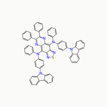 c1ccc(-c2nc3c(N(c4ccccc4)c4ccc(-n5c6ccccc6c6ccccc65)cc4)c4nsnc4c(N(c4ccccc4)c4ccc(-n5c6ccccc6c6ccccc65)cc4)c3nc2-c2ccccc2)cc1